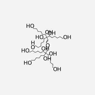 OCCCCCC(O)C(C=COC=CC(C(O)CCCCCO)(C(O)CCCCCO)C(O)CCCCCO)(C(O)CCCCCO)C(O)CCCCCO